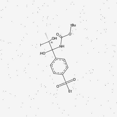 CCS(=O)(=O)c1ccc(C(O)(NC(=O)OC(C)(C)C)[C@](C)(O)I)cc1